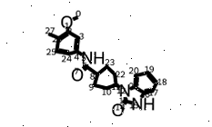 COc1cc(NC(=O)C2CCC(n3c(=O)[nH]c4ccccc43)CC2)ccc1C